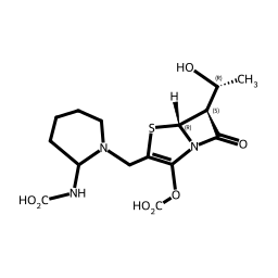 C[C@@H](O)[C@H]1C(=O)N2C(OC(=O)O)=C(CN3CCCCC3NC(=O)O)S[C@H]12